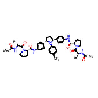 COC(=O)N[C@H](C(=O)N1CCC[C@H]1C(=O)Nc1ccc([C@@H]2CC[C@@H](c3ccc(NC(=O)[C@@H]4CCCN4C(=O)[C@@H](NC(=O)OC)C(C)C)cc3)N2c2ccc(C(F)(F)F)cc2)cc1)C(C)C